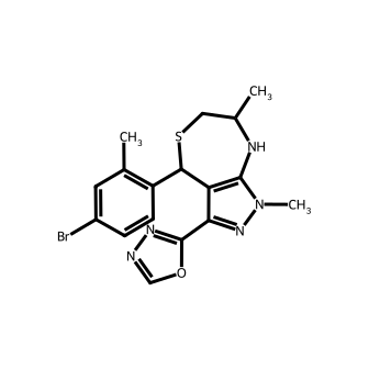 Cc1cc(Br)ccc1C1SCC(C)Nc2c1c(-c1nnco1)nn2C